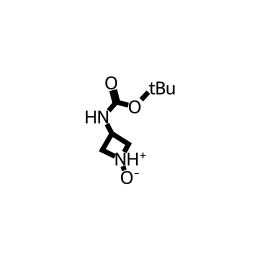 CC(C)(C)OC(=O)NC1C[NH+]([O-])C1